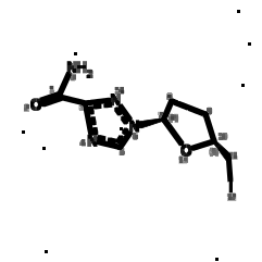 NC(=O)c1ncn([C@H]2CC[C@@H](CI)O2)n1